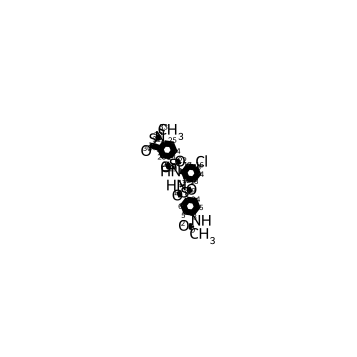 CC(=O)Nc1ccc(S(=O)(=O)Nc2ccc(Cl)cc2NS(=O)(=O)c2ccc3c(c2)c(=O)sn3C)cc1